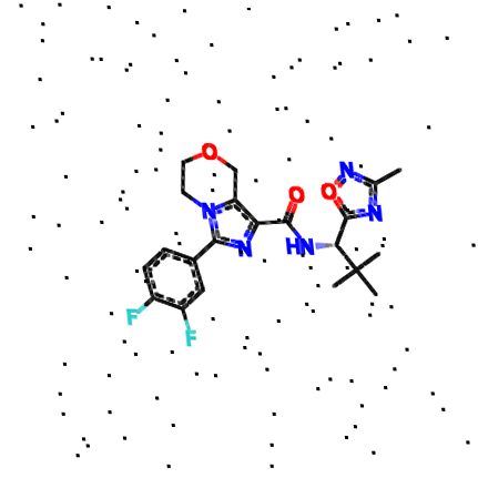 Cc1noc([C@@H](NC(=O)c2nc(-c3ccc(F)c(F)c3)n3c2COCC3)C(C)(C)C)n1